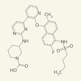 CCCCS(=O)(=O)Nc1c(F)ccc2c(Oc3ncccc3-c3ccnc(NC4CCCN(C(=O)O)C4)n3)c(C)ccc12